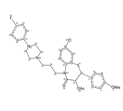 COc1ccc(C2Sc3cc(Cl)ccc3N(CCCN3CCN(c4ccc(F)cc4)CC3)C(=O)C2OC(C)=O)cc1